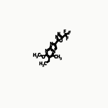 CCc1c(OC)nc2nc(-c3nnc(C(F)(F)F)o3)cn2c1C